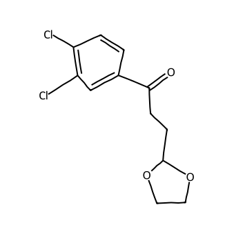 O=C(CCC1OCCO1)c1ccc(Cl)c(Cl)c1